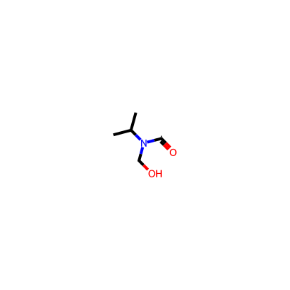 CC(C)N([C]=O)CO